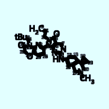 C=CCn1c(=O)c2cnc(Nc3ccc4c(c3)CN(C)CC43CC3)nc2n1-c1ccc2c(n1)N(CC(C)(C)C)C(=O)CO2